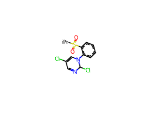 CC(C)S(=O)(=O)c1ccccc1N1C=C(Cl)C=NC1Cl